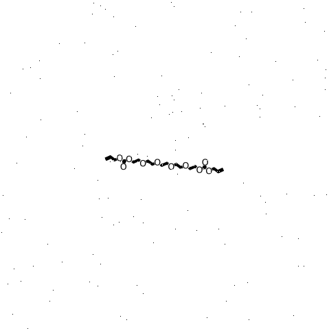 C=CCOC(=O)OCCOCCOCCOCCOCCOC(=O)OCC=C